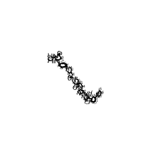 O=C1CCC(Nc2ccc(N3CCC(CC(=O)N4CCC5(CC4)CCN(c4cncc(Nc6ncc(Cl)c(-c7cccc(N8CCCC8)c7)n6)c4)C5=O)CC3)cc2)C(=O)N1